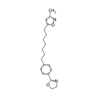 Cc1cc(CCCCCCCc2ccc(C3=NCCO3)cc2)on1